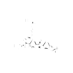 COCCOCC(=O)c1cc(S(=O)(=O)c2ccc(OC(F)(F)F)cc2)cnc1C(=O)NN